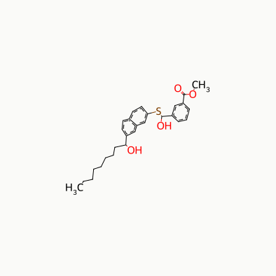 CCCCCCCCC(O)c1ccc2ccc(SC(O)c3cccc(C(=O)OC)c3)cc2c1